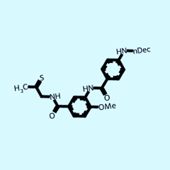 CCCCCCCCCCNc1ccc(C(=O)Nc2cc(C(=O)NCC(C)=S)ccc2OC)cc1